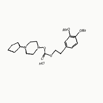 COc1ccc(CCOC(=O)ON2CCN(C3CCCC3)CC2)cc1OC.Cl